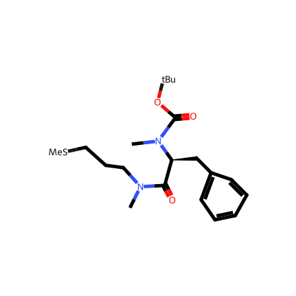 CSCCCN(C)C(=O)[C@H](Cc1ccccc1)N(C)C(=O)OC(C)(C)C